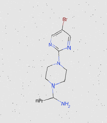 CCCC(N)N1CCN(c2ncc(Br)cn2)CC1